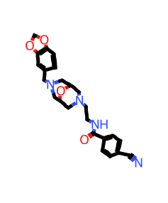 N#Cc1ccc(C(=O)NCCN2CC3CN(Cc4ccc5c(c4)OCO5)CC(C2)O3)cc1